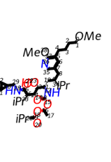 COCCCCc1cc(C[C@H](C[C@H](NC(=O)OC(C)OC(=O)C(C)C)[C@H](O)C[C@H](C(=O)NCC2CC2)C(C)C)C(C)C)cnc1OC